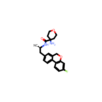 N#C[C@H](Cc1ccc2c(c1)COc1cc(F)ccc1-2)NC(=O)C1(N)CCOCC1